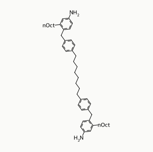 CCCCCCCCc1cc(N)ccc1Cc1ccc(CCCCCCCCc2ccc(Cc3ccc(N)cc3CCCCCCCC)cc2)cc1